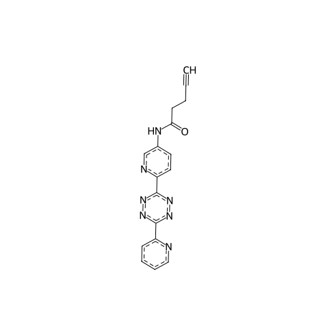 C#CCCC(=O)Nc1ccc(-c2nnc(-c3ccccn3)nn2)nc1